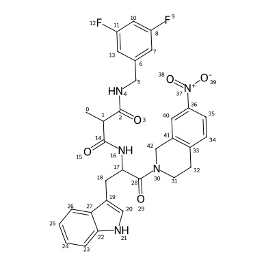 CC(C(=O)NCc1cc(F)cc(F)c1)C(=O)NC(Cc1c[nH]c2ccccc12)C(=O)N1CCc2ccc([N+](=O)[O-])cc2C1